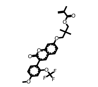 C=C(C)C(=O)OCC(C)(C)COc1ccc2cc(-c3ccc(OC)cc3OC(F)(F)F)c(=O)oc2c1